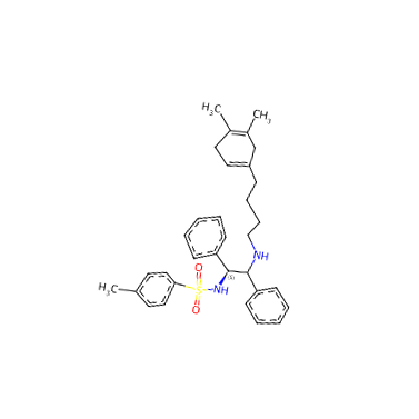 CC1=C(C)CC(CCCCNC(c2ccccc2)[C@@H](NS(=O)(=O)c2ccc(C)cc2)c2ccccc2)=CC1